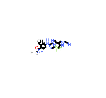 CCc1cc(Nc2nccn3c(-c4cn(CC#N)nc4C(F)(F)F)cnc23)ccc1C(=O)NC